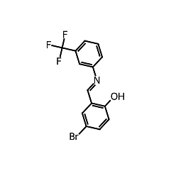 Oc1ccc(Br)cc1/C=N/c1cccc(C(F)(F)F)c1